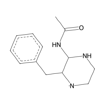 CC(=O)NC1NCC[N]C1Cc1ccccc1